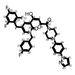 O=C(/C=C(/O)c1cc(Cc2c(F)cc(F)cc2F)cn(Cc2ccc(F)cc2)c1=O)C(=O)N1CCN(c2ccc(-n3cccn3)cc2)CC1